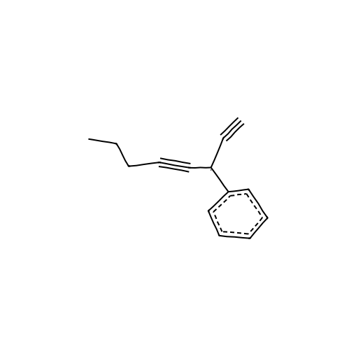 C#C[C](C#CCCC)c1ccccc1